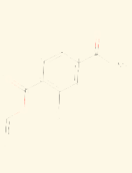 C=COC(=O)c1ccc(C(=O)OC)cc1C